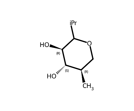 CC(C)C1OC[C@@H](C)[C@H](O)[C@H]1O